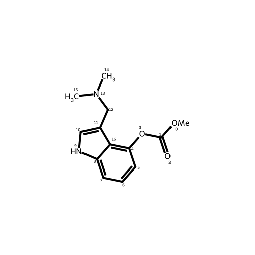 COC(=O)Oc1cccc2[nH]cc(CN(C)C)c12